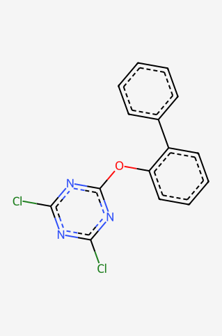 Clc1nc(Cl)nc(Oc2ccccc2-c2ccccc2)n1